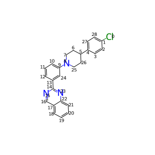 Clc1ccc(C2CCN(c3cccc(-c4ncc5ccccc5n4)c3)CC2)cc1